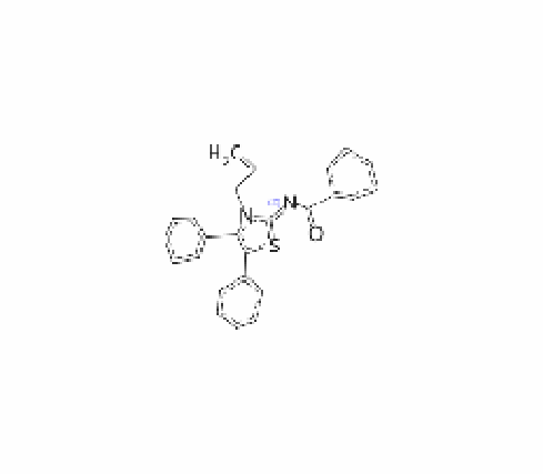 C=CCn1c(-c2ccccc2)c(-c2ccccc2)s/c1=N\C(=O)c1ccccc1